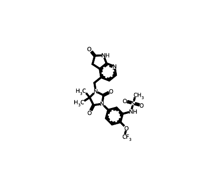 CC1(C)C(=O)N(c2ccc(OC(F)(F)F)c(NS(C)(=O)=O)c2)C(=O)N1Cc1ccnc2c1CC(=O)N2